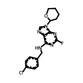 Fc1nc(NCc2ccc(Cl)cc2)c2ncn(C3CCCCO3)c2n1